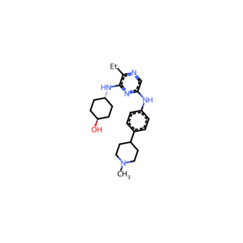 CCc1ncc(Nc2ccc(C3CCN(C)CC3)cc2)nc1N[C@H]1CC[C@H](O)CC1